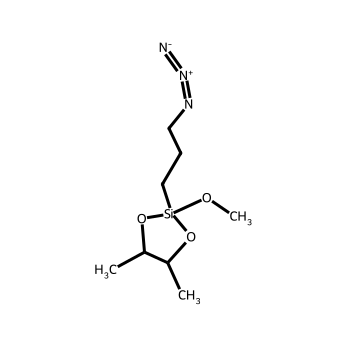 CO[Si]1(CCCN=[N+]=[N-])OC(C)C(C)O1